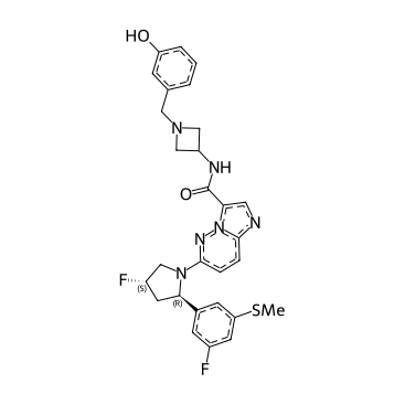 CSc1cc(F)cc([C@H]2C[C@H](F)CN2c2ccc3ncc(C(=O)NC4CN(Cc5cccc(O)c5)C4)n3n2)c1